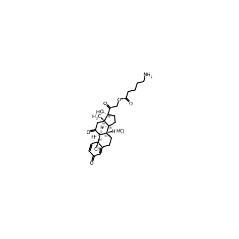 C[C@]12C=CC(=O)C=C1CC[C@@H]1[C@@H]2C(=O)C[C@@]2(C)[C@H]1CC[C@]2(O)C(=O)COC(=O)CCCCN.Cl